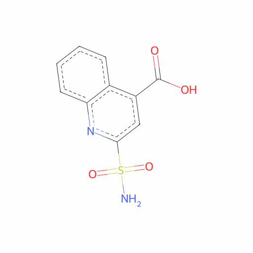 NS(=O)(=O)c1cc(C(=O)O)c2ccccc2n1